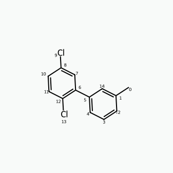 Cc1[c]ccc(-c2cc(Cl)ccc2Cl)c1